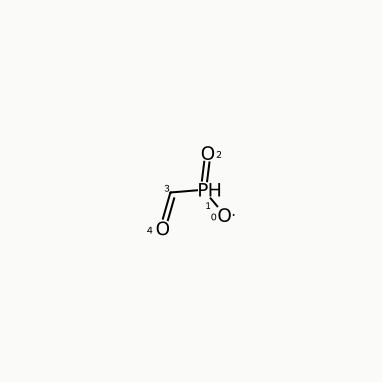 [O][PH](=O)C=O